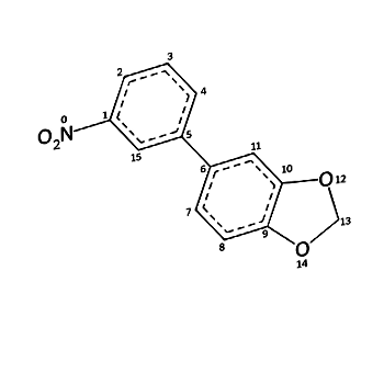 O=[N+]([O-])c1cccc(-c2ccc3c(c2)OCO3)c1